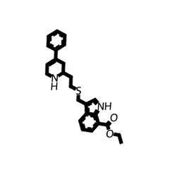 CCOC(=O)c1cccc2c(CSCCC3CC(c4ccccc4)=CCN3)c[nH]c12